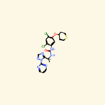 C[C@H](NC(=O)Nc1cc(OC2CCSCC2)c(Cl)cc1Cl)c1ncnn1-c1ncccn1